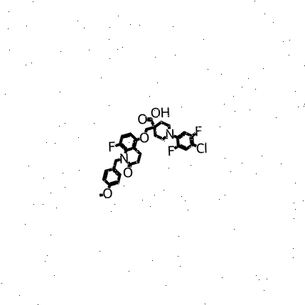 COc1ccc(CN2C(=O)CCc3c(OCC4(C(=O)O)CCN(c5cc(F)c(Cl)cc5F)CC4)ccc(F)c32)cc1